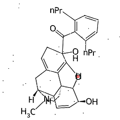 CCCc1cccc(CCC)c1C(=O)C1(O)CC=C2C[C@@H]3[C@@H]4C=C[C@H](O)[C@@H]5OC1=C2[C@]45CCN3C